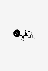 C=C(C)C(=O)[C]12[CH]3[CH]4[CH]5[CH]1[Fe]45321678[CH]2[CH]1[CH]6[CH]7[CH]28